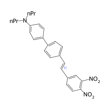 CCCN(CCC)c1ccc(-c2ccc(/C=C/c3ccc([N+](=O)[O-])c([N+](=O)[O-])c3)cc2)cc1